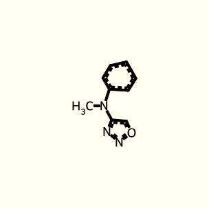 CN(c1ccccc1)c1conn1